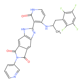 CC(Cc1c(F)c(F)cc(F)c1F)Nc1cc[nH]c(=O)c1-c1nc2cc3c(cc2[nH]1)C(=O)N(c1cccnc1)C3=O